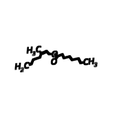 C=CCC/C(C)=C\COC(=O)CCCCCCC